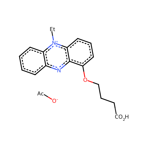 CC(=O)[O-].CC[n+]1c2ccccc2nc2c(OCCCC(=O)O)cccc21